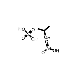 CC(C)O.O=S(=O)(O)O.O=[N+]([O-])O